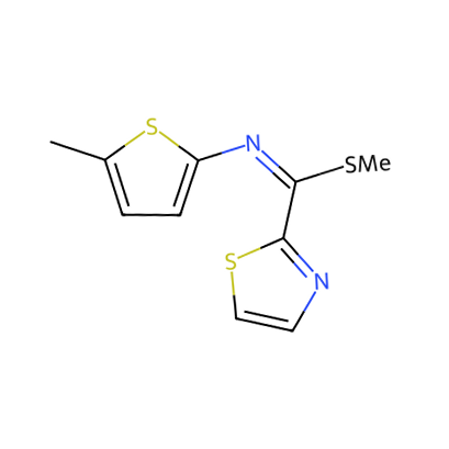 CSC(=Nc1ccc(C)s1)c1nccs1